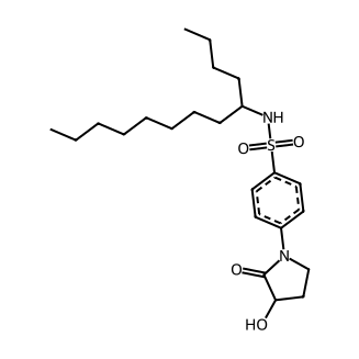 CCCCCCCCC(CCCC)NS(=O)(=O)c1ccc(N2CCC(O)C2=O)cc1